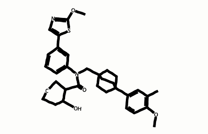 COc1ncc(-c2cccc(N(CC34CCC(c5ccc(OC)c(C)c5)(CC3)CC4)C(=O)C3CCCCC3O)c2)s1